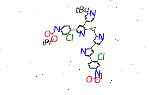 CC(C)OC(=O)N(C)c1ccc(-c2cnc(C3CC3c3cc(-c4cncc(-c5ccc(N6CCOC6=O)cc5Cl)c4)ccn3)c(-c3ccnc(C(C)(C)C)c3)c2)c(Cl)c1